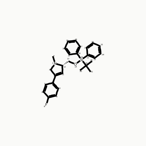 [CH2]N1CC(c2ccc(F)cc2)=C[C@H]1CO[Si](c1ccccc1)(c1ccccc1)C(C)(C)C